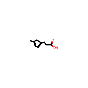 CC1=CC=C(CCC(=O)O)C1